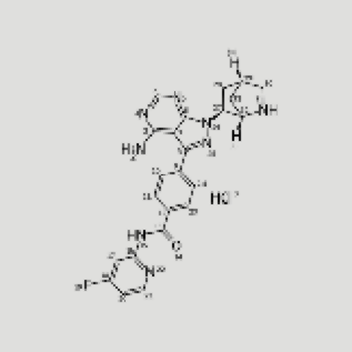 Cl.Nc1ncnc2c1c(-c1ccc(C(=O)Nc3cc(F)ccn3)cc1)nn2[C@H]1C[C@@H]2CN[C@H]1C2